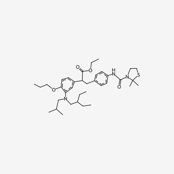 CCCOc1ccc(C(Cc2ccc(NC(=O)N3CCSC3(C)C)cc2)C(=O)OCC)cc1N(CC(C)C)CC(CC)CC